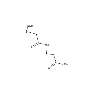 CNC(=O)CCNC(=O)CSOC